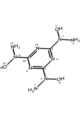 NN(O)c1nc(N(N)O)nc(N(N)O)n1